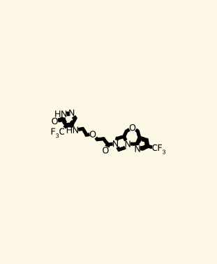 O=C(CCOCCNc1cn[nH]c(=O)c1C(F)(F)F)N1CCN2c3ncc(C(F)(F)F)cc3COCC2C1